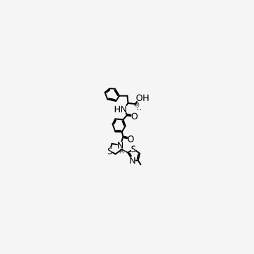 [CH2][C@@H](O)C(Cc1ccccc1)NC(=O)c1cccc(C(=O)N2CSC[C@@H]2c2nc(C)cs2)c1